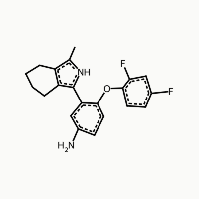 Cc1[nH]c(-c2cc(N)ccc2Oc2ccc(F)cc2F)c2c1CCCC2